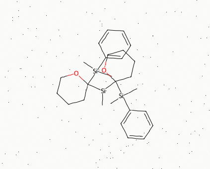 C[Si](C1([Si](C)(C)c2ccccc2)CCCCO1)C1([Si](C)(C)c2ccccc2)CCCCO1